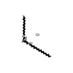 CCCCCCCCCCCCCCCCCCNCCC[N+](C)(C)CC(=O)OCCCCCCCCCCCCCC.[Cl-]